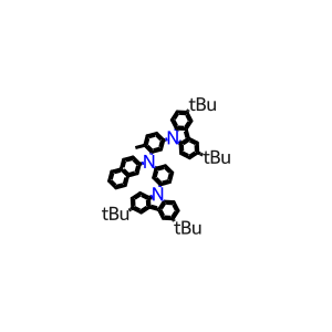 Cc1ccc(-n2c3ccc(C(C)(C)C)cc3c3cc(C(C)(C)C)ccc32)cc1N(c1cccc(-n2c3ccc(C(C)(C)C)cc3c3cc(C(C)(C)C)ccc32)c1)c1ccc2ccccc2c1